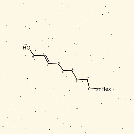 CCCCCCCC[CH]CCCC=CCO